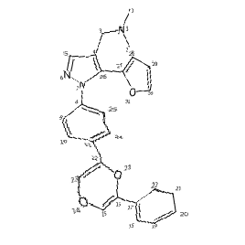 CN(C)Cc1cnn(-c2ccc(C3=COC=C(C4=CC=CCC4)O3)cc2)c1-c1ccco1